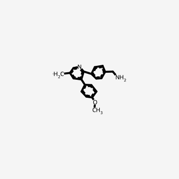 [CH2]c1cnc(-c2ccc(CN)cc2)c(-c2ccc(OC)cc2)c1